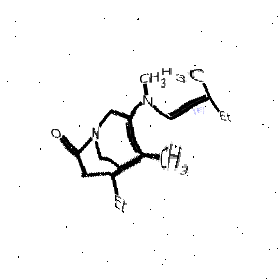 CC/C(C)=C/N(C)C1=C(C)C2CN(C1)C(=O)CC2CC